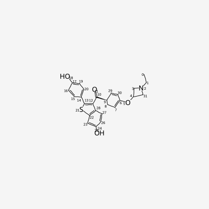 CCN1CC(OC2=CC[C@@H](C(=O)c3c(-c4ccc(O)cc4)sc4cc(O)ccc34)C=C2)C1